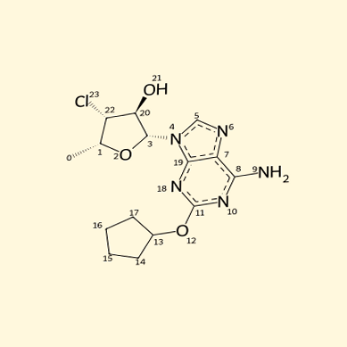 C[C@H]1O[C@@H](n2cnc3c(N)nc(OC4CCCC4)nc32)[C@H](O)[C@H]1Cl